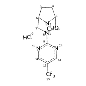 Cl.O=CN1C2CCC1CN(c1ncc(C(F)(F)F)cn1)C2